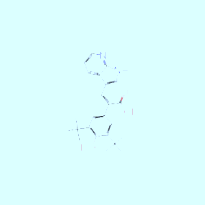 CC(C)(C)c1cc(/C(=C/c2c[nH]c3ncccc23)C(=O)O)cc(C(C)(C)C)c1O